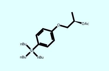 CCC[CH2][Sn]([CH2]CCC)([CH2]CCC)[c]1ccc(OC[C@@H](C)OC(C)=O)cc1